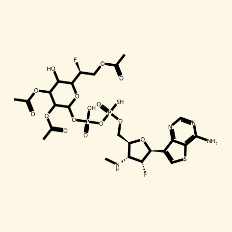 CN[C@H]1[C@@H](F)[C@H](c2csc3c(N)ncnc23)O[C@@H]1COP(=O)(S)OP(=O)(O)OC1OC([C@@H](F)COC(C)=O)C(O)C(OC(C)=O)C1OC(C)=O